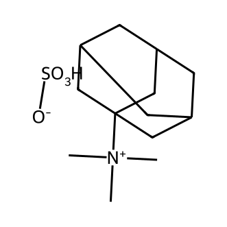 C[N+](C)(C)C12CC3CC(CC(C3)C1)C2.O=S(=O)([O-])O